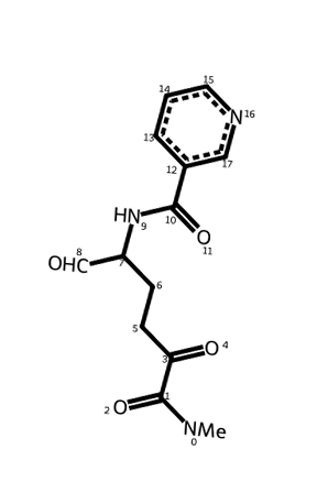 CNC(=O)C(=O)CCC(C=O)NC(=O)c1cccnc1